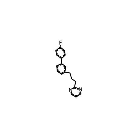 Fc1ccc(-c2cccc(CCCc3ncccn3)c2)cc1